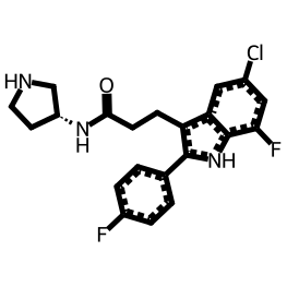 O=C(CCc1c(-c2ccc(F)cc2)[nH]c2c(F)cc(Cl)cc12)N[C@@H]1CCNC1